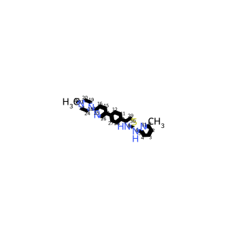 Cc1cccc(NC2NC(c3ccc(-c4ccc(N5CCN(C)CC5)nc4)cc3)CS2)n1